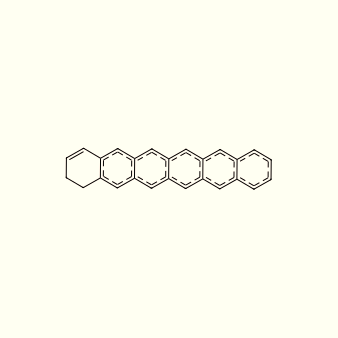 C1=Cc2cc3cc4cc5cc6ccccc6cc5cc4cc3cc2CC1